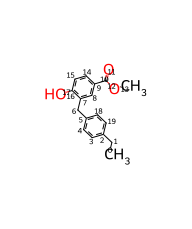 CCc1ccc(Cc2cc(C(=O)OC)ccc2O)cc1